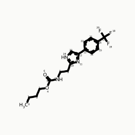 CCCCOC(=O)NCCc1nc(-c2ccc(C(F)(F)F)cc2)c[nH]1